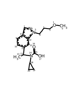 COCCCn1ncc2ccc(C(C)N(C(=O)O)C3CC3)cc21